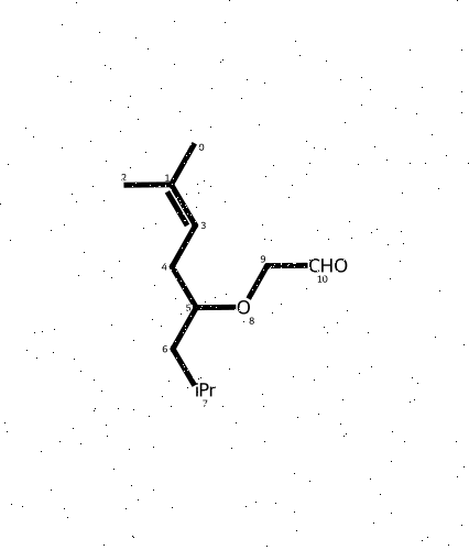 CC(C)=CCC(CC(C)C)OCC=O